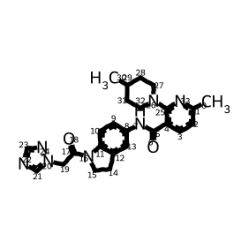 Cc1ccc(C(=O)Nc2ccc3c(c2)CCN3C(=O)Cn2cncn2)c(N2CCC(C)CC2)n1